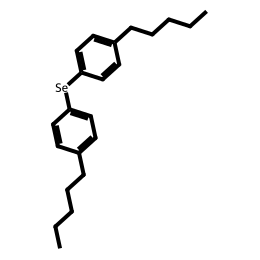 CCCCCc1ccc([Se]c2ccc(CCCCC)cc2)cc1